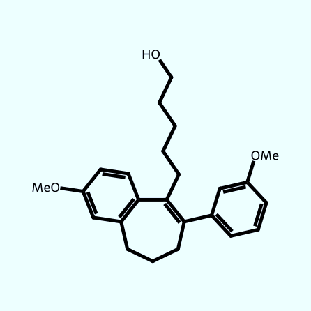 COc1cccc(C2=C(CCCCCO)c3ccc(OC)cc3CCC2)c1